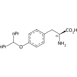 CCCC(CCC)Oc1ccc(C[C@H](N)C(=O)O)cc1